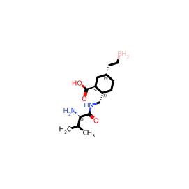 BCC[C@@H]1CC[C@H](CNC(=O)[C@@H](N)C(C)C)[C@@H](C(=O)O)C1